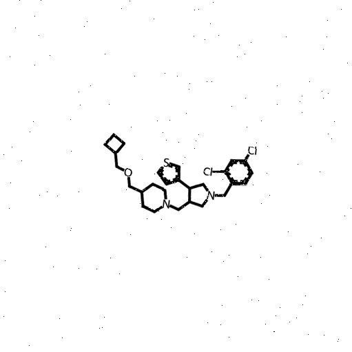 Clc1ccc(CN2CC(CN3CCC(COCC4CCC4)CC3)C(c3ccsc3)C2)c(Cl)c1